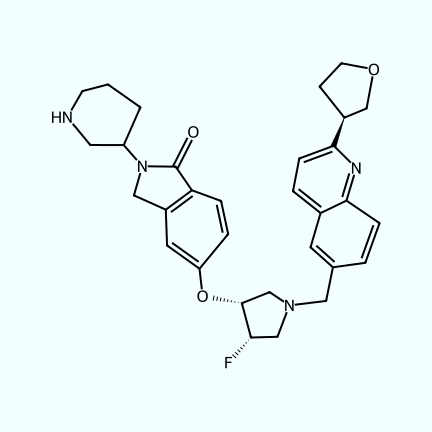 O=C1c2ccc(O[C@@H]3CN(Cc4ccc5nc([C@H]6CCOC6)ccc5c4)C[C@@H]3F)cc2CN1C1CCCNC1